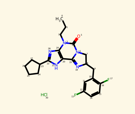 CCCN1C(=O)N2CC(Cc3cc(F)ccc3F)N=C2c2[nH]c(C3CCCC3)nc21.Cl